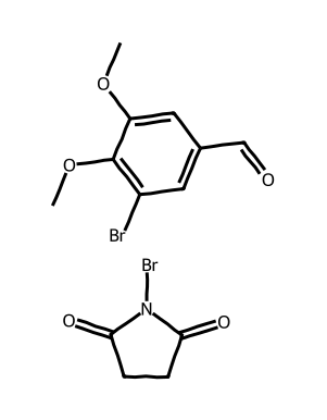 COc1cc(C=O)cc(Br)c1OC.O=C1CCC(=O)N1Br